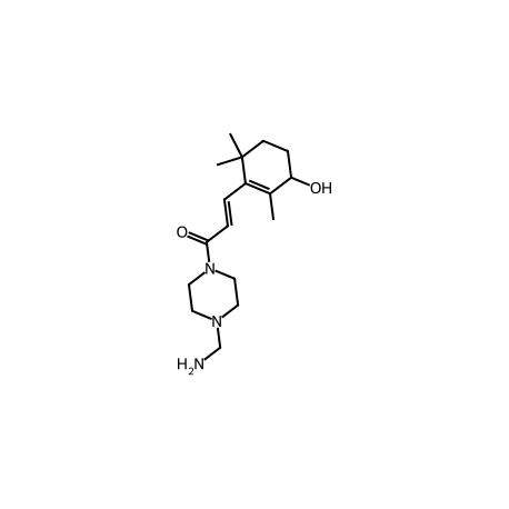 CC1=C(/C=C/C(=O)N2CCN(CN)CC2)C(C)(C)CCC1O